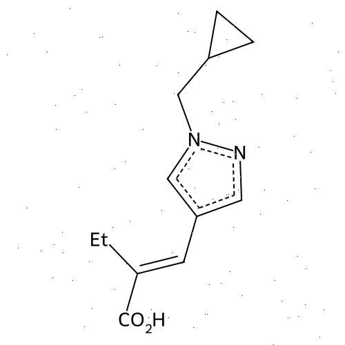 CC/C(=C\c1cnn(CC2CC2)c1)C(=O)O